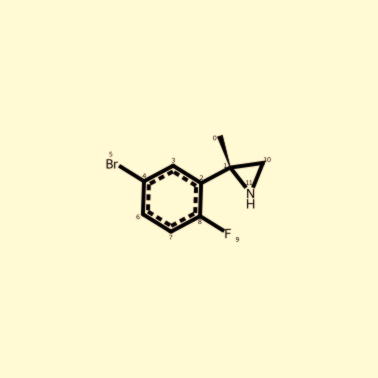 C[C@@]1(c2cc(Br)ccc2F)CN1